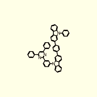 c1ccc(-c2cc(-c3ccccc3)nc(-c3cccc(-n4c5ccccc5c5ccc(-c6ccc(-c7ccc8c9ccccc9n(-c9ccccc9)c8c7)cc6)cc54)c3)n2)cc1